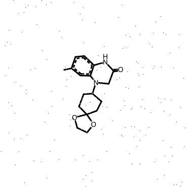 Cc1ccc2c(c1)N(C1CCC3(CC1)OCCO3)CC(=O)N2